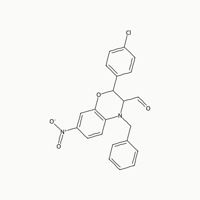 O=CC1C(c2ccc(Cl)cc2)Oc2cc([N+](=O)[O-])ccc2N1Cc1ccccc1